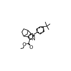 CCOC(=O)c1nn(-c2ccc(C(C)(C)C)cc2)c2c1C1CCC2C1